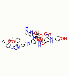 COc1cc(CN2CCN(C3CC4(CCN(c5ccc(C(=O)NS(=O)(=O)c6ccc(NC[C@H]7CC[C@](C)(O)CC7)c([N+](=O)[O-])c6)c(N6c7cc8cc[nH]c8nc7O[C@H]7COCC[C@@H]76)c5)CC4)C3)[C@@H](c3ccccc3OC(C)C)C2)ccc1C1CC1